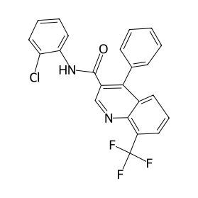 O=C(Nc1ccccc1Cl)c1cnc2c(C(F)(F)F)cccc2c1-c1ccccc1